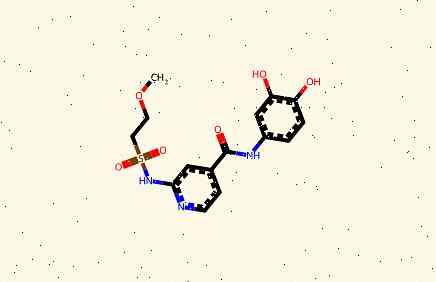 COCCS(=O)(=O)Nc1cc(C(=O)Nc2ccc(O)c(O)c2)ccn1